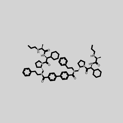 CCCN[C@@H](C)C(=O)N[C@H](C(=O)N1CCC[C@H]1CN(CCc1ccccc1)C(=O)c1ccc(-c2ccc(C(=O)N(CCc3ccccc3)C[C@@H]3CCCN3C(=O)[C@@H](NC(=O)[C@H](C)NCCC)C3CCCCC3)cc2)cc1)C1CCCCC1